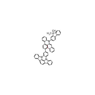 CC1(C)c2ccccc2-c2ccc(N(c3ccc4ccccc4c3)c3ccccc3-c3ccc(-c4ccc5c(c4)n4c6ccccc6c6ccc7c8ccccc8n5c7c64)cc3)cc21